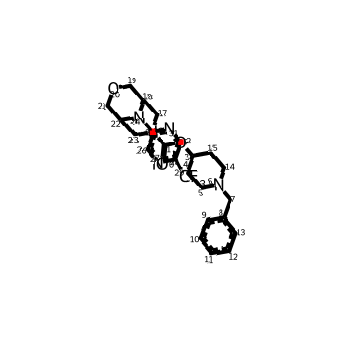 O=C(OC1CCN(Cc2ccccc2)CC1)N1CC2COCC(C1)N2c1cnc(C(F)(F)F)cn1